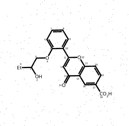 CCC(O)COc1ccccc1-c1cc(=O)c2cc(C(=O)O)ccc2o1